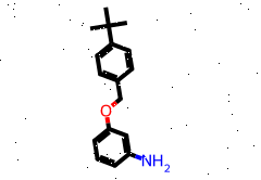 CC(C)(C)c1ccc(COc2cccc(N)c2)cc1